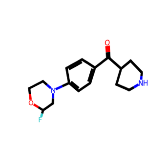 O=C(c1ccc(N2CCOC(F)C2)cc1)C1CCNCC1